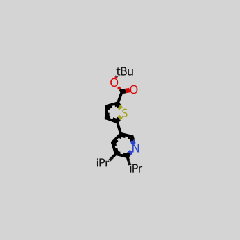 CC(C)c1cc(-c2ccc(C(=O)OC(C)(C)C)s2)cnc1C(C)C